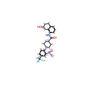 O=C(Nc1cccc2c1CC(O)CC2)C1CCN(c2ccc(C(F)(F)F)cc2[N+](=O)[O-])CC1